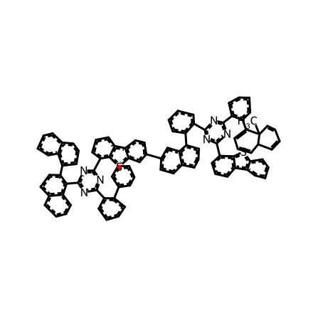 CC12C=CC=CC1C=CC=C2c1ccccc1-c1nc(-c2ccccc2-c2cccc3ccc(-c4ccc5c(c4)sc4c(-c6nc(-c7ccccc7-c7ccccc7)nc(-c7c(-c8cccc9ccccc89)ccc8ccccc78)n6)cccc45)cc23)nc(-c2cccc3c2sc2ccccc23)n1